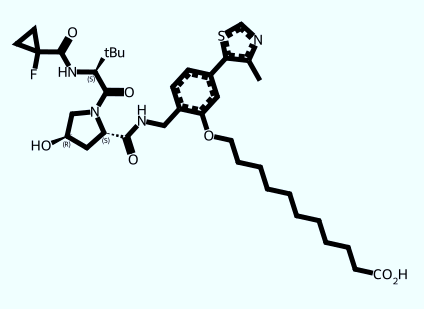 Cc1ncsc1-c1ccc(CNC(=O)[C@@H]2C[C@@H](O)CN2C(=O)[C@@H](NC(=O)C2(F)CC2)C(C)(C)C)c(OCCCCCCCCCCC(=O)O)c1